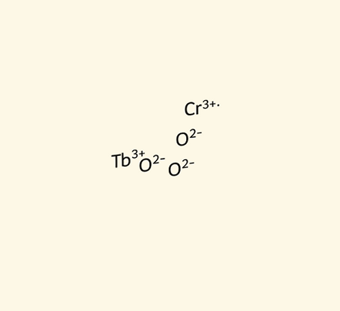 [Cr+3].[O-2].[O-2].[O-2].[Tb+3]